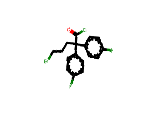 O=C(Cl)C(CCCBr)(c1ccc(F)cc1)c1ccc(F)cc1